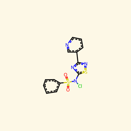 O=S(=O)(c1ccccc1)N(Cl)c1nc(-c2cccnc2)ns1